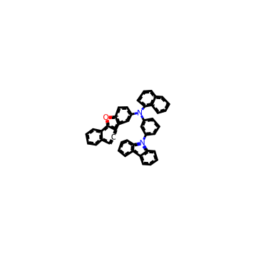 c1cc(N(c2ccc3oc4c5ccccc5ccc4c3c2)c2cccc3ccccc23)cc(-n2c3ccccc3c3ccccc32)c1